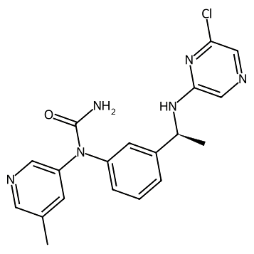 Cc1cncc(N(C(N)=O)c2cccc([C@H](C)Nc3cncc(Cl)n3)c2)c1